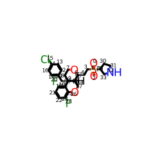 O=S(=O)(CC[C@@H]1OCC[C@@]2(Cc3ccc(Cl)cc3)c3c(F)ccc(F)c3OC[C@@H]12)[C@H]1CCNC1